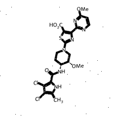 COc1ccnc(-c2nc(N3CC[C@@H](NC(=O)c4[nH]c(C)c(Cl)c4Cl)[C@@H](OC)C3)sc2C(=O)O)n1